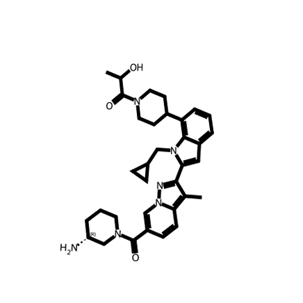 Cc1c(-c2cc3cccc(C4CCN(C(=O)C(C)O)CC4)c3n2CC2CC2)nn2cc(C(=O)N3CCC[C@@H](N)C3)ccc12